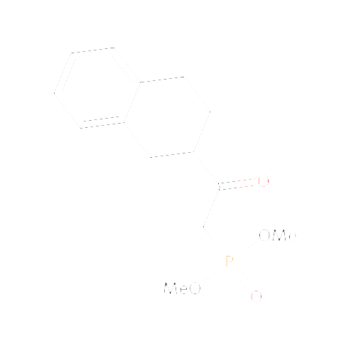 COP(=O)(CC(=O)C1CCc2ccccc2C1)OC